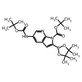 CC(C)(C)OC(=O)Nc1cnc2c(c1)cc(B1OC(C)(C)C(C)(C)O1)n2C(=O)OC(C)(C)C